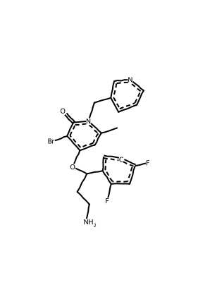 Cc1cc(OC(CCN)c2ccc(F)cc2F)c(Br)c(=O)n1Cc1cccnc1